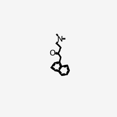 CN(C)CCC(=O)Cc1cccc2ccccc12